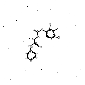 Cc1c(Cl)ccc(OC(C)CCC(=O)Nc2ccccc2)c1C